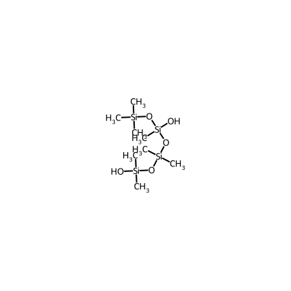 C[Si](C)(C)O[Si](C)(O)O[Si](C)(C)O[Si](C)(C)O